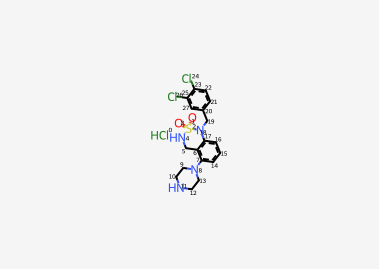 Cl.O=S1(=O)NCc2c(N3CCNCC3)cccc2N1Cc1ccc(Cl)c(Cl)c1